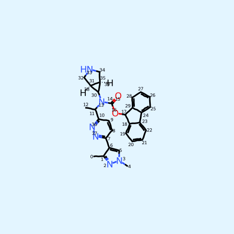 Cc1nn(C)cc1-c1ccc(C(C)N(C(=O)OC2c3ccccc3-c3ccccc32)C2[C@H]3CNC[C@@H]23)nn1